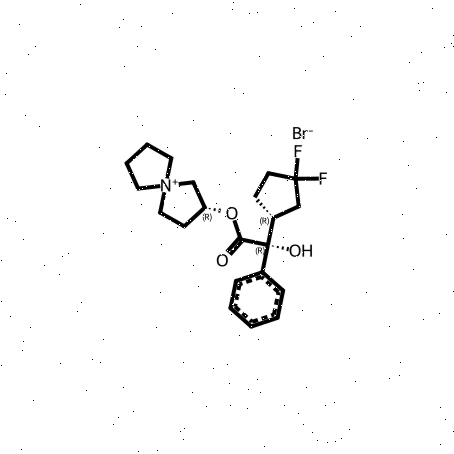 O=C(O[C@@H]1CC[N+]2(CCCC2)C1)[C@](O)(c1ccccc1)[C@@H]1CCC(F)(F)C1.[Br-]